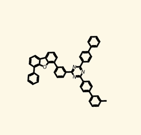 Cc1cccc(-c2ccc(-c3nc(-c4ccc(-c5ccccc5)cc4)nc(-c4cccc(-c5cccc6c5oc5c(-c7ccccc7)cccc56)c4)n3)cc2)c1